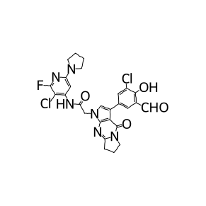 O=Cc1cc(-c2cn(CC(=O)Nc3cc(N4CCCC4)nc(F)c3Cl)c3nc4n(c(=O)c23)CCC4)cc(Cl)c1O